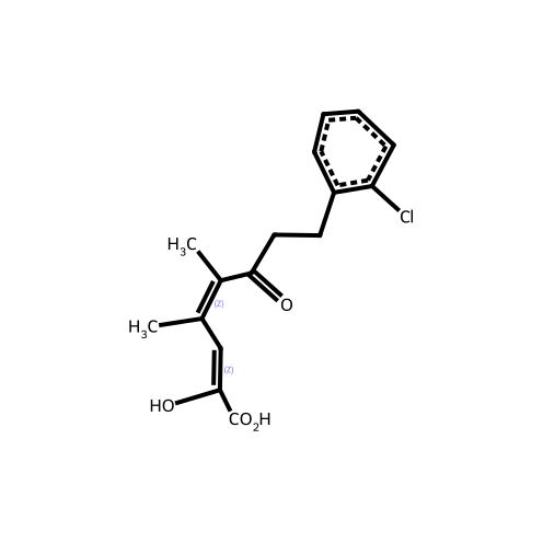 CC(/C=C(\O)C(=O)O)=C(\C)C(=O)CCc1ccccc1Cl